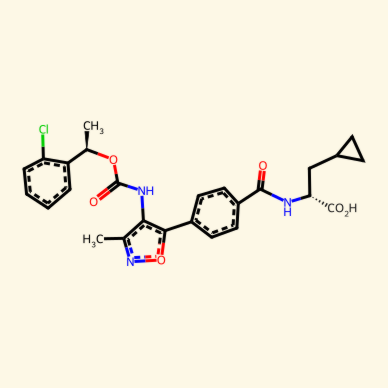 Cc1noc(-c2ccc(C(=O)N[C@H](CC3CC3)C(=O)O)cc2)c1NC(=O)O[C@H](C)c1ccccc1Cl